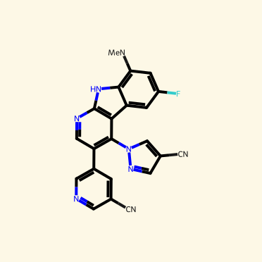 CNc1cc(F)cc2c1[nH]c1ncc(-c3cncc(C#N)c3)c(-n3cc(C#N)cn3)c12